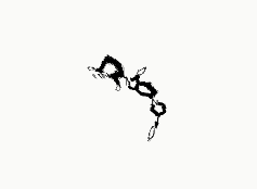 O=C[C@@H]1CCN(c2ccc3c(c2)CN([C@H]2CCC(=O)NC2=O)C3=O)C1